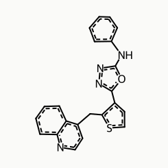 c1ccc(Nc2nnc(-c3ccsc3Cc3ccnc4ccccc34)o2)cc1